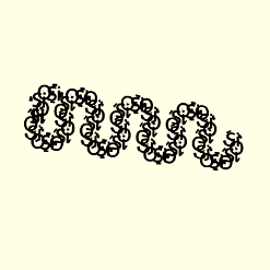 C[SiH](O[Si](C)(C)C)O[Si](C)(C)O[Si](C)(C)O[Si](C)(C)O[Si](C)(C)O[Si](C)(C)O[Si](C)(C)O[Si](C)(C)O[Si](C)(C)O[Si](C)(C)O[Si](C)(C)O[Si](C)(C)O[Si](C)(C)O[Si](C)(C)O[Si](C)(C)O[Si](C)(C)O[Si](C)(C)O[Si](C)(C)O[Si](C)(C)O[Si](C)(C)O[Si](C)(C)O[Si](C)(C)O[Si](C)(C)O[Si](C)(C)O[Si](C)(C)O[Si](C)(C)O[Si](C)(C)O[Si](C)(C)O[Si](C)(C)O[Si](C)(C)C